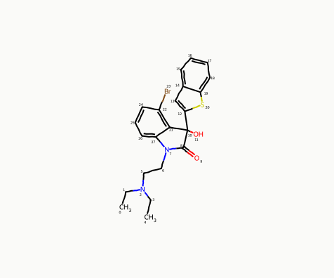 CCN(CC)CCN1C(=O)C(O)(c2cc3ccccc3s2)c2c(Br)cccc21